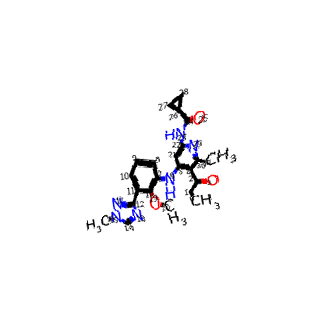 CCC(=O)c1c(Nc2cccc(-c3ncn(C)n3)c2OC)cc(NC(=O)C2CC2)nc1C